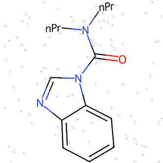 CCCN(CCC)C(=O)n1cnc2ccccc21